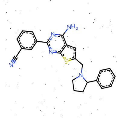 N#Cc1cccc(-c2nc(N)c3cc(CN4CCCC4c4ccccc4)sc3n2)c1